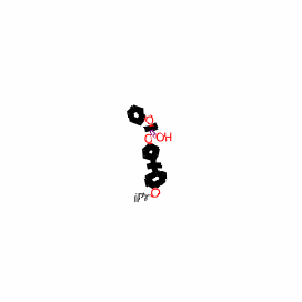 CC(C)Oc1ccc(C(C)(C)c2ccc(OP(O)C(C)(C)Oc3ccccc3)cc2)cc1